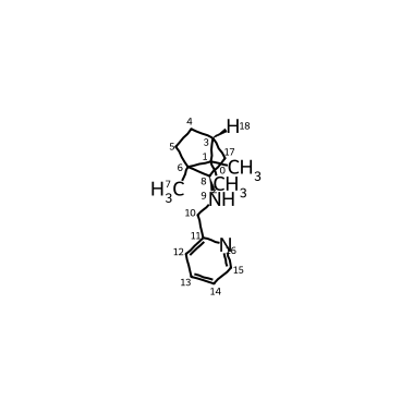 CC1(C)[C@@H]2CCC1(C)[C@H](NCc1ccccn1)C2